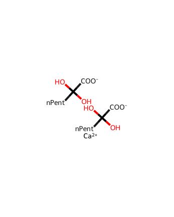 CCCCCC(O)(O)C(=O)[O-].CCCCCC(O)(O)C(=O)[O-].[Ca+2]